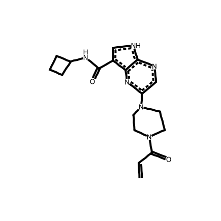 C=CC(=O)N1CCN(c2cnc3[nH]cc(C(=O)NC4CCC4)c3n2)CC1